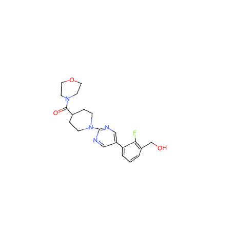 O=C(C1CCN(c2ncc(-c3cccc(CO)c3F)cn2)CC1)N1CCOCC1